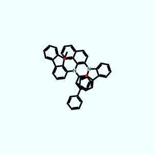 CC1(C)c2ccccc2-c2cccc(N(c3cccc(-c4ccccc4)c3)c3c(-n4c5ccccc5c5ccccc54)ccc4ccccc34)c21